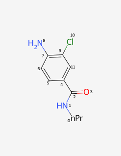 CCCNC(=O)c1ccc(N)c(Cl)c1